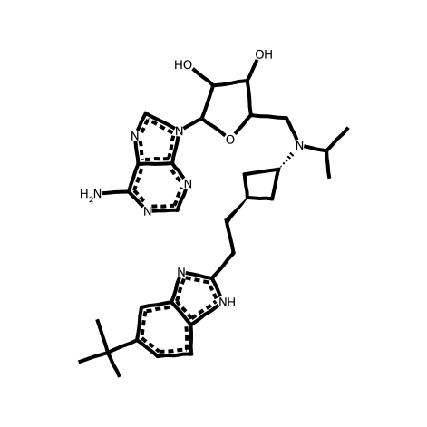 CC(C)N(CC1OC(n2cnc3c(N)ncnc32)C(O)C1O)[C@H]1C[C@H](CCc2nc3cc(C(C)(C)C)ccc3[nH]2)C1